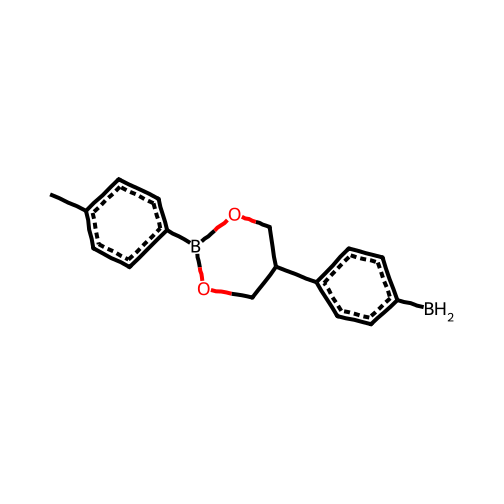 Bc1ccc(C2COB(c3ccc(C)cc3)OC2)cc1